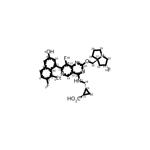 CCc1c(F)ccc2cc(O)cc(-c3ncc4c(NC[C@@H]5C[C@H]5C(=O)O)nc(OC[C@@]56CCCN5C[C@H](F)C6)nc4c3F)c12